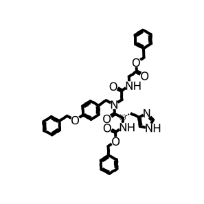 O=C(CN(Cc1ccc(OCc2ccccc2)cc1)C(=O)[C@H](Cc1c[nH]cn1)NC(=O)OCc1ccccc1)NCC(=O)OCc1ccccc1